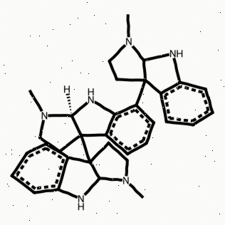 CN1CCC2(c3cccc4c3N[C@@H]3N(C)CCC43C34CCN(C)C3Nc3ccccc34)c3ccccc3NC12